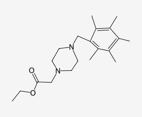 CCOC(=O)CN1CCN(Cc2c(C)c(C)c(C)c(C)c2C)CC1